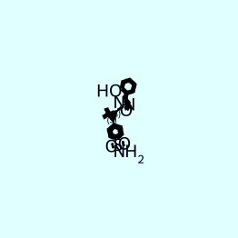 CC1(C)[C@@H](c2ccc(S(N)(=O)=O)cc2)[C@@H]1c1nc(C2CCCCC2O)no1